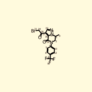 CC1CN(c2ccc(C(F)(F)F)cc2)C(=O)c2c(C(=O)CBr)cnn21